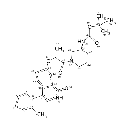 Cc1ccccc1-c1c[nH]c(=O)c2cc(O[C@H](C)C(=O)N3CCC[C@H](NC(=O)OC(C)(C)C)C3)ccc12